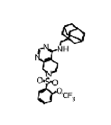 O=S(=O)(c1ccccc1OC(F)(F)F)N1CCc2c(ncnc2NCC23CC4CC(CC(C4)C2)C3)C1